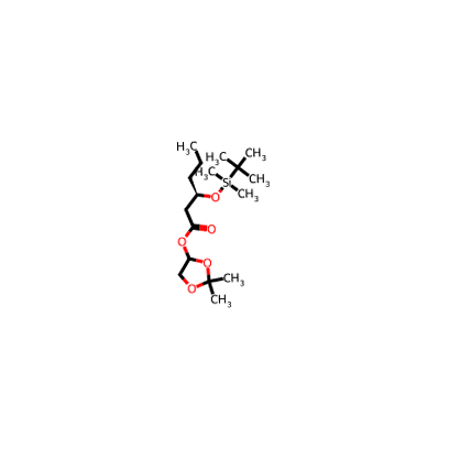 CCC[C@H](CC(=O)OC1COC(C)(C)O1)O[Si](C)(C)C(C)(C)C